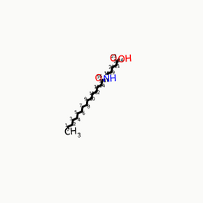 CCCCCCCCCCCCCCCC(=O)NCCCCC(=O)O